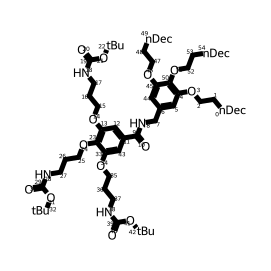 CCCCCCCCCCCCOc1cc(CNC(=O)c2cc(OCCCNC(=O)OC(C)(C)C)c(OCCCNC(=O)OC(C)(C)C)c(OCCCNC(=O)OC(C)(C)C)c2)cc(OCCCCCCCCCCCC)c1OCCCCCCCCCCCC